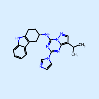 CC(C)c1cnn2c(N[C@@H]3CCc4[nH]c5ccccc5c4C3)nc(-n3ccnc3)nc12